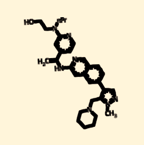 C=C(Nc1cc2cc(-c3cnn(C)c3CN3CCCCC3)ccc2cn1)c1ccnc(N(CCC)CCO)c1